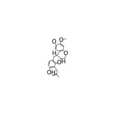 C=C(C)Cc1c(O)ccc2c1O[C@@H]1COc3cc(OC)c(OC)cc3[C@@H]1C2